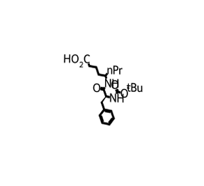 CCCC(CCCC(=O)O)NC(=O)[C@H](Cc1ccccc1)NC(=O)OC(C)(C)C